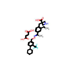 CCc1cc(/C(C)=N/OCc2ccc(C3CCCCC3)c(C(F)(F)F)c2)ccc1CC1(C(=O)O)CNC1.O=C(O)/C=C/C(=O)O